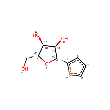 OC[C@H]1O[C@@H](c2cccs2)[C@H](O)[C@@H]1O